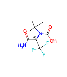 CC(C)(C)N(C(=O)O)[C@H](C(N)=O)C(F)(F)F